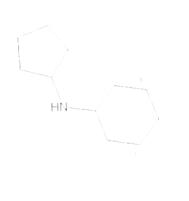 C[C@@H]1CC(NC2CCCC2)C[C@H](C)C1